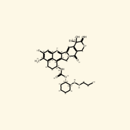 CC[C@@]1(O)C(=N)OCc2c1cc1n(c2=O)Cc2c-1nc1cc(F)c(C)c3c1c2[C@@H](NC(=O)O[C@H]1CCCC[C@@H]1SSCCI)CC3